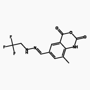 Cc1cc(C=NNCC(F)(F)F)cc2c(=O)oc(=O)[nH]c12